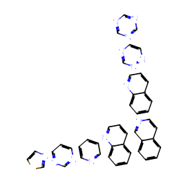 c1ccc2cnccc2c1.c1ccc2ncccc2c1.c1ccc2ncccc2c1.c1ccncc1.c1cncnc1.c1cnncn1.c1cscn1.c1ncncn1